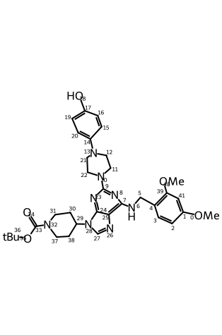 COc1ccc(CNc2nc(N3CCN(c4ccc(O)cc4)CC3)nc3c2ncn3C2CCN(C(=O)OC(C)(C)C)CC2)c(OC)c1